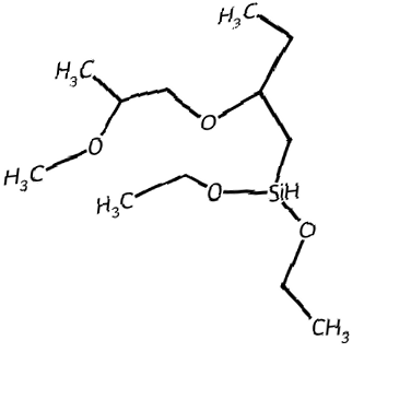 CCO[SiH](CC(CC)OCC(C)OC)OCC